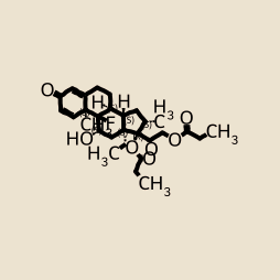 CCC(=O)OCC(=O)[C@@]1(OC(=O)CC)[C@@H](C)C[C@H]2[C@@H]3CCC4=CC(=O)C=C[C@]4(C)C3(F)[C@@H](O)C[C@@]21CC